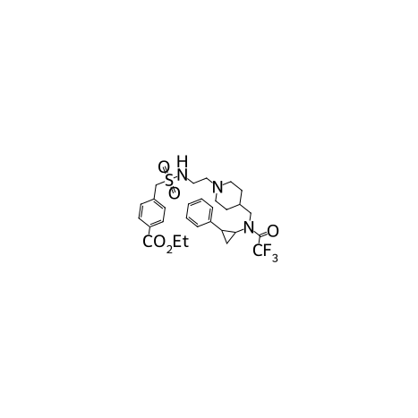 CCOC(=O)c1ccc(CS(=O)(=O)NCCN2CCC(CN(C(=O)C(F)(F)F)C3CC3c3ccccc3)CC2)cc1